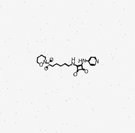 O=c1c(NCCCCCS(=O)(=O)N2CCCCO2)c(Nc2ccncc2)c1=O